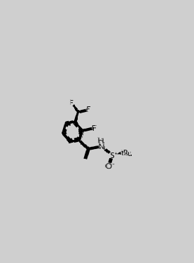 CC(N[S@+]([O-])C(C)(C)C)c1cccc(C(F)F)c1F